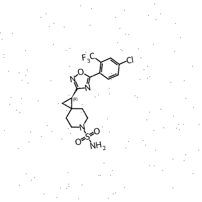 NS(=O)(=O)N1CCC2(CC1)C[C@H]2c1noc(-c2ccc(Cl)cc2C(F)(F)F)n1